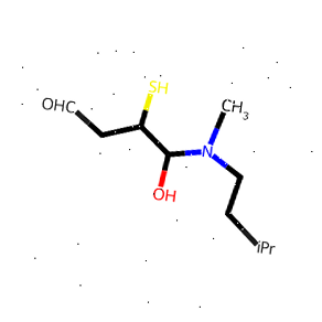 CC(C)CCN(C)C(O)C(S)CC=O